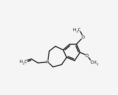 C=CCN1CCc2cc(OC)c(OC)cc2CC1